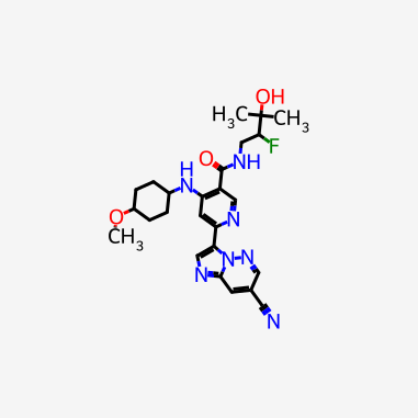 COC1CCC(Nc2cc(-c3cnc4cc(C#N)cnn34)ncc2C(=O)NCC(F)C(C)(C)O)CC1